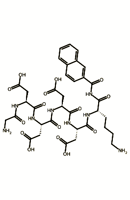 NCCCC[C@H](NC(=O)[C@H](CC(=O)O)NC(=O)[C@H](CC(=O)O)NC(=O)[C@H](CC(=O)O)NC(=O)[C@H](CC(=O)O)NC(=O)CN)C(=O)NC(=O)c1ccc2ccccc2c1